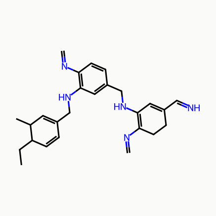 C=NC1=C(NCc2ccc(N=C)c(NCC3=CC(C)C(CC)C=C3)c2)C=C(C=N)CC1